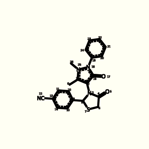 Cc1c(N2C(=O)CSC2c2ccc(C#N)cc2)c(=O)n(-c2ccccc2)n1C